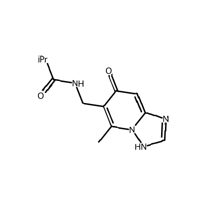 Cc1c(CNC(=O)C(C)C)c(=O)cc2nc[nH]n12